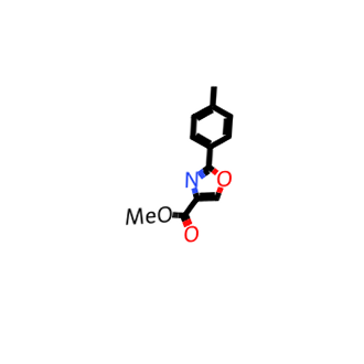 COC(=O)c1coc(-c2ccc(C)cc2)n1